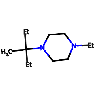 CCN1CCN(C(C)(CC)CC)CC1